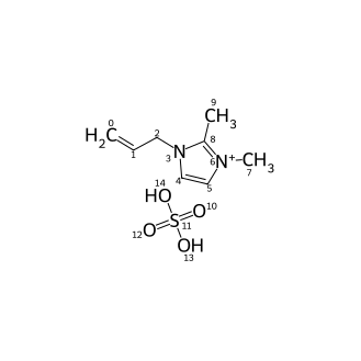 C=CCn1cc[n+](C)c1C.O=S(=O)(O)O